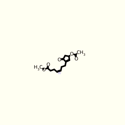 COC(=O)CC/C=C\CCC1=CC(OC(C)=O)CC1=O